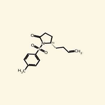 C=CCC[C@H]1CCC(=O)N1S(=O)(=O)c1ccc(C)cc1